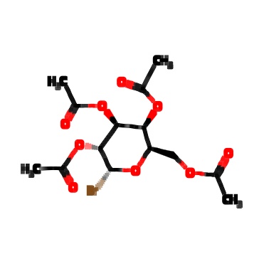 CC(=O)OC[C@H]1O[C@H](Br)[C@H](OC(C)=O)[C@@H](OC(C)=O)[C@H]1OC(C)=O